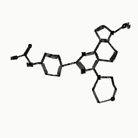 Cn1ccc2c3nc(-c4ccc(NC(=O)O)cc4)nc(N4CCOCC4)c3ccc21